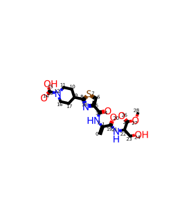 C=C(NC(=O)c1csc(C2CCN(C(=O)O)CC2)n1)C(=O)NC(CO)C(=O)OC